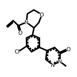 C=CC(=O)N1CCOCC1c1cc(Cl)cc(-c2cnn(C)c(=O)c2)c1